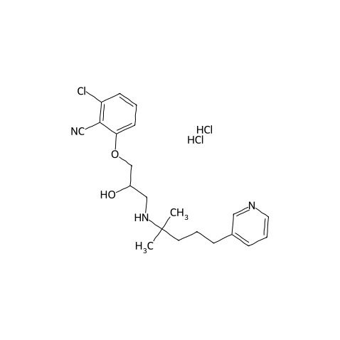 CC(C)(CCCc1cccnc1)NCC(O)COc1cccc(Cl)c1C#N.Cl.Cl